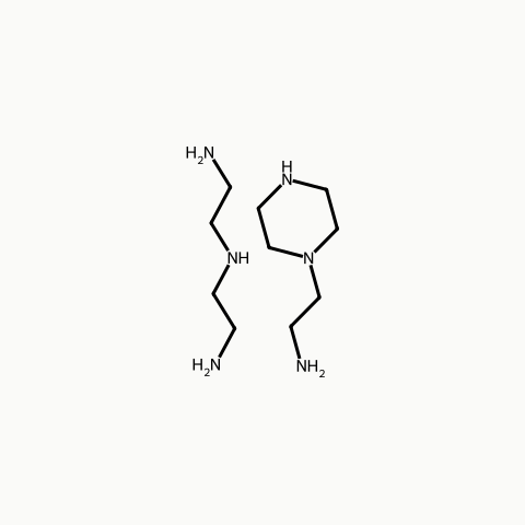 NCCN1CCNCC1.NCCNCCN